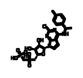 Cc1ccc(C(C)Nc2nc(Cl)nc3c2ccn3[C@@H]2O[C@H](CS(=O)(=O)CP(=O)(O)O)[C@@H](O)[C@H]2O)cc1